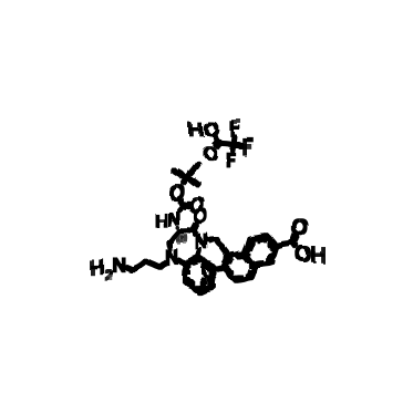 COc1ccc2cc(C(=O)O)ccc2c1CN1C(=O)[C@@H](NC(=O)OC(C)(C)C)CN(CCCN)c2ccccc21.O=C(O)C(F)(F)F